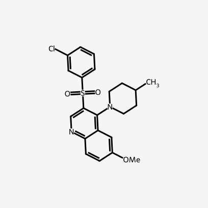 COc1ccc2ncc(S(=O)(=O)c3cccc(Cl)c3)c(N3CCC(C)CC3)c2c1